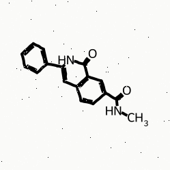 CNC(=O)c1ccc2cc(-c3ccccc3)[nH]c(=O)c2c1